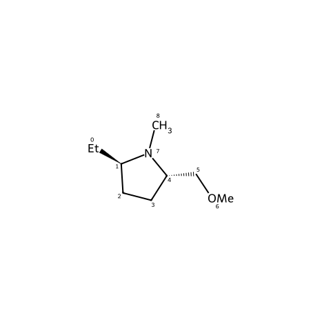 CC[C@@H]1CC[C@@H](COC)N1C